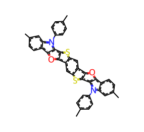 Cc1ccc(-n2c3cc(C)ccc3c3oc4c5cc6sc7c(oc8c9ccc(C)cc9n(-c9ccc(C)cc9)c87)c6cc5sc4c32)cc1